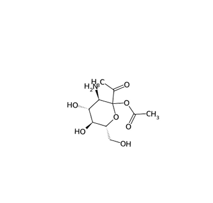 CC(=O)OC1(C(C)=O)O[C@H](CO)[C@@H](O)[C@H](O)[C@H]1N